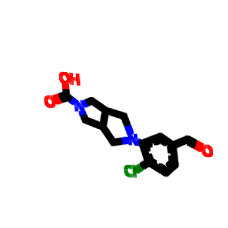 O=Cc1ccc(Cl)c(N2CC3CN(C(=O)O)CC3C2)c1